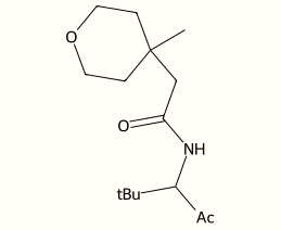 CC(=O)C(NC(=O)CC1(C)CCOCC1)C(C)(C)C